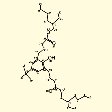 CCCCC(CC)COC(=O)CSCc1cc(C(C)(C)C)cc(CSCC(=O)OCC(CC)CCCC)c1O